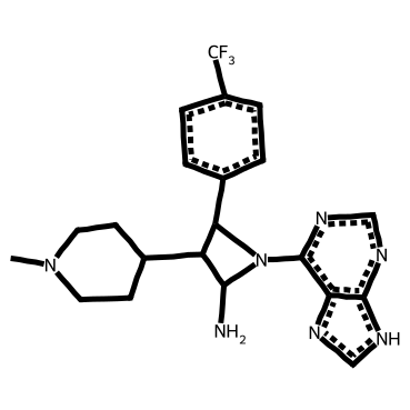 CN1CCC(C2C(N)N(c3ncnc4[nH]cnc34)C2c2ccc(C(F)(F)F)cc2)CC1